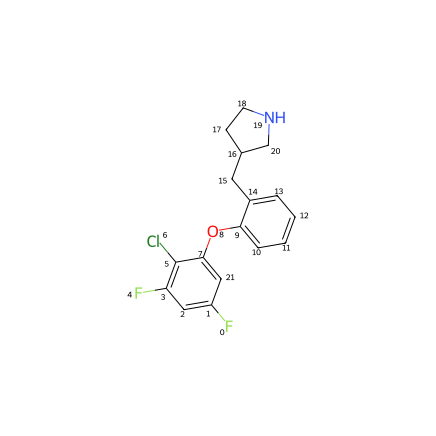 Fc1cc(F)c(Cl)c(Oc2ccccc2CC2CCNC2)c1